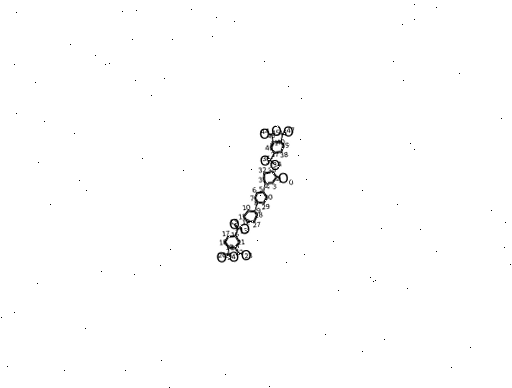 COc1cc(-c2ccc(-c3ccc(OC(=O)c4ccc5c(c4)C(=O)OC5=O)cc3)cc2)ccc1OC(=O)c1ccc2c(c1)C(=O)OC2=O